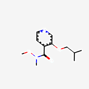 CON(C)C(=O)c1ccncc1OCC(C)C